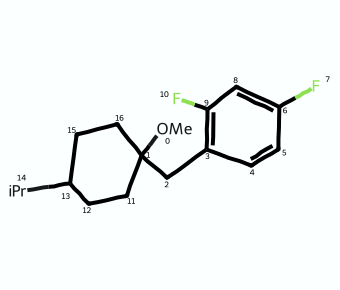 COC1(Cc2ccc(F)cc2F)CCC(C(C)C)CC1